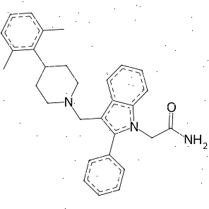 Cc1cccc(C)c1C1CCN(Cc2c(-c3ccccc3)n(CC(N)=O)c3ccccc23)CC1